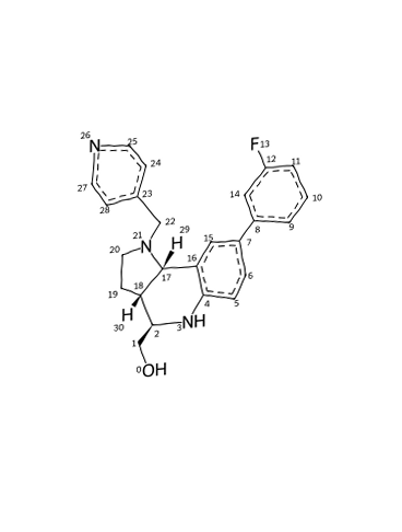 OC[C@@H]1Nc2ccc(-c3cccc(F)c3)cc2[C@@H]2[C@H]1CCN2Cc1ccncc1